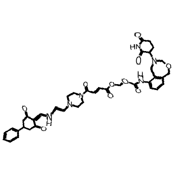 O=C1CCC(N2COCc3cccc(NC(=O)OCOC(=O)/C=C/C(=O)N4CCN(CCNC=C5C(=O)CC(c6ccccc6)CC5=O)CC4)c3C2)C(=O)N1